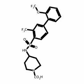 O=C(O)N1CCC(NS(=O)(=O)c2ccc(-c3ccccc3OC(F)(F)F)cc2C(F)(F)F)CC1